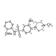 COc1ccccc1NS(=O)(=O)c1ccc(N2CCN(C)CC2)c(N)c1